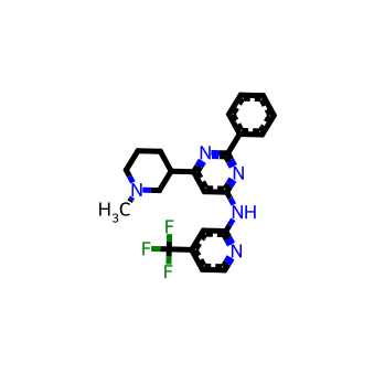 CN1CCCC(c2cc(Nc3cc(C(F)(F)F)ccn3)nc(-c3ccccc3)n2)C1